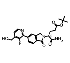 CC(C)(C)OC(=O)CC[C@@H](C(N)=O)N1Cc2cc(-c3nccc(CO)c3F)ccc2C1=O